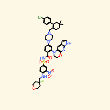 CC1(C)CCC(CN2CCN(c3ccc(C(=O)NS(=O)(=O)c4ccc(NCC5(F)CCOCC5)c([N+](=O)[O-])c4)c(N4CCOc5nc6[nH]ccc6cc54)c3)CC2)=C(c2ccc(Cl)cc2)C1